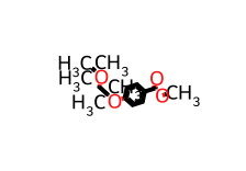 COC(=O)c1ccc(OC(C)(C)COC(C)(C)C)cc1